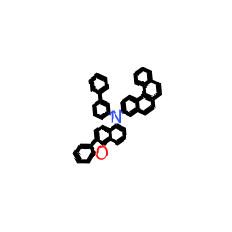 c1ccc(-c2cccc(N(c3ccc4c(ccc5ccc6ccccc6c54)c3)c3cccc4c3ccc3c5ccccc5oc43)c2)cc1